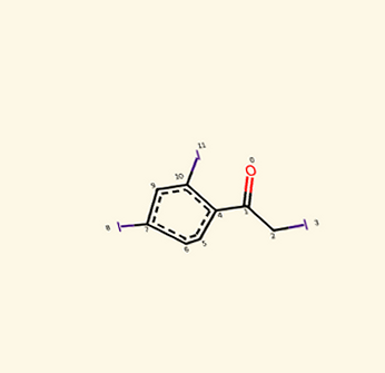 O=C(CI)c1ccc(I)cc1I